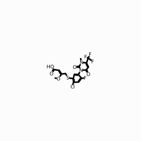 COC(=CC(=O)O)CSc1cc(-n2c(=O)cc(C(F)(F)F)n(C)c2=O)c(F)cc1Cl